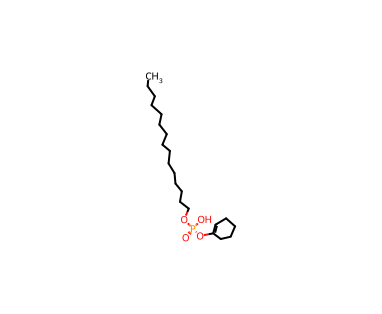 CCCCCCCCCCCCCCCOP(=O)(O)OC1=CCCCC1